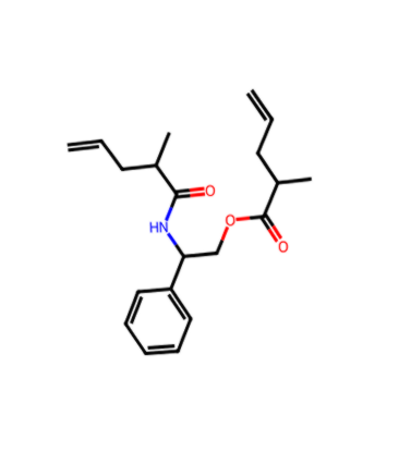 C=CCC(C)C(=O)NC(COC(=O)C(C)CC=C)c1ccccc1